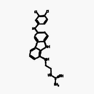 N=[N+](N)NCCNc1cccc2c1[nH]c1ccc(Nc3ccc(Cl)c(Cl)c3)cc12